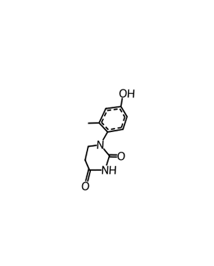 Cc1cc(O)ccc1N1CCC(=O)NC1=O